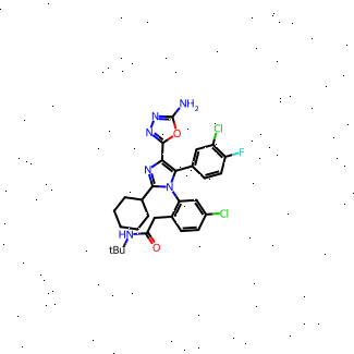 CC(C)(C)NC(=O)Cc1ccc(Cl)cc1-n1c(C2CCCCC2)nc(-c2nnc(N)o2)c1-c1ccc(F)c(Cl)c1